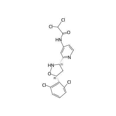 O=C(Nc1ccnc([C@@H]2C[C@H](c3c(Cl)cccc3Cl)ON2)c1)C(Cl)Cl